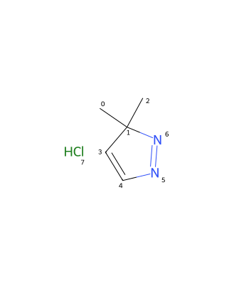 CC1(C)C=CN=N1.Cl